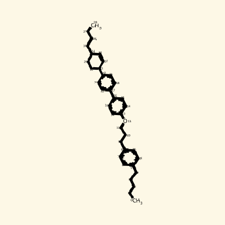 CCCCCc1ccc(CCCOc2ccc(-c3ccc(C4C=CC(CCCC)CC4)cc3)cc2)cc1